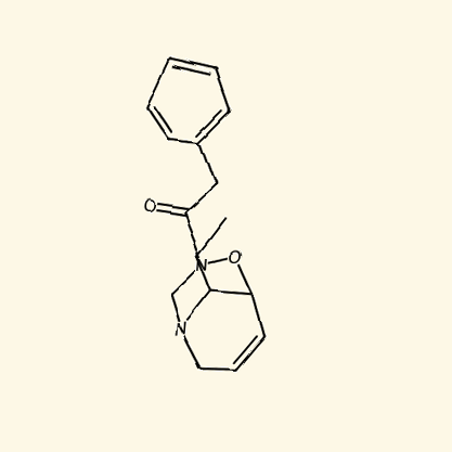 CCC1C2C=CCN1CN(C(=O)Cc1ccccc1)O2